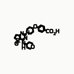 O=C(O)c1ccc(OC2CCN(c3nc4c(c(NC5CCOCC5)n3)[S@@+]([O-])CC4)CC2)cc1